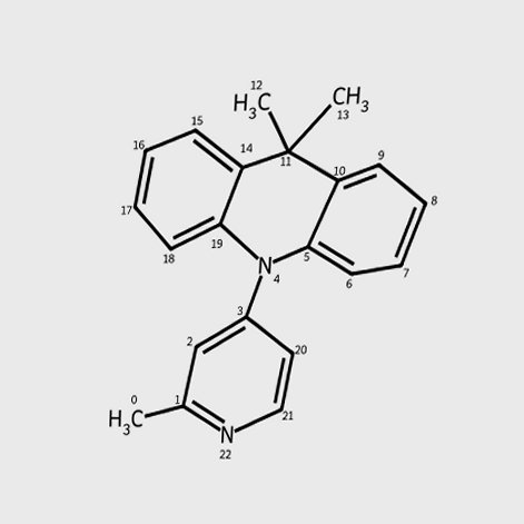 Cc1cc(N2c3ccccc3C(C)(C)c3ccccc32)ccn1